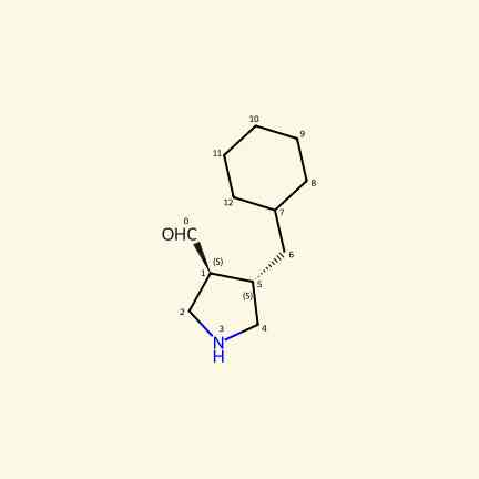 O=C[C@@H]1CNC[C@H]1CC1CCCCC1